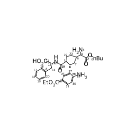 CCCCOC(=O)C(N)C1CCC(C(=O)N[C@@H](Cc2ccccc2)C(=O)O)CC1.CCOC(=O)c1ccc(N)cc1